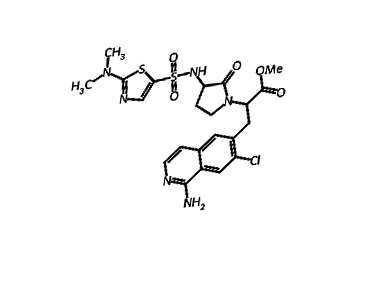 COC(=O)C(Cc1cc2ccnc(N)c2cc1Cl)N1CCC(NS(=O)(=O)c2cnc(N(C)C)s2)C1=O